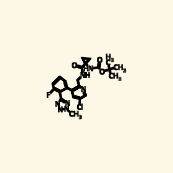 Cn1nnc(-c2c(F)cccc2-c2cc(Cl)cnc2CNC(=O)C2(NC(=O)OC(C)(C)C)CC2)n1